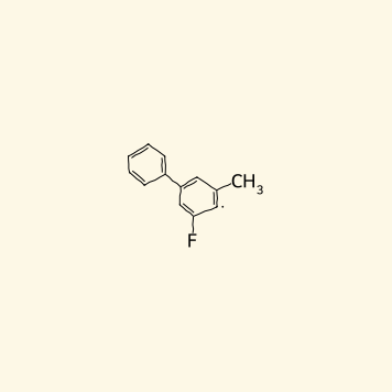 Cc1[c]c(F)cc(-c2ccccc2)c1